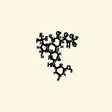 COc1cc(C)cc(Nc2ncc(-c3cc(C(=O)NS(C)(=O)=O)c(=O)n(C)c3)c(-n3nc(C(F)(F)F)cc3C)n2)c1